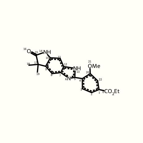 CCOC(=O)c1ccc(-c2nc3cc4c(cc3[nH]2)NC(=O)C4(C)C)c(OC)c1